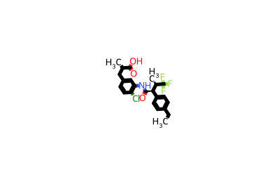 CCc1ccc([C@@H](C(=O)Nc2cc(CC(C)C(=O)O)ccc2Cl)[C@@H](C)C(F)(F)F)cc1